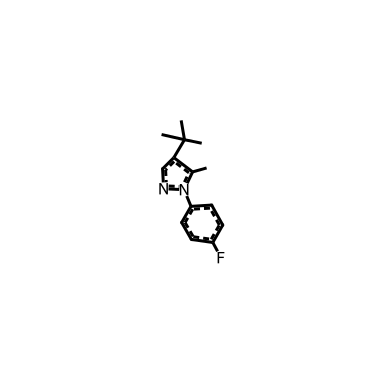 Cc1c(C(C)(C)C)cnn1-c1ccc(F)cc1